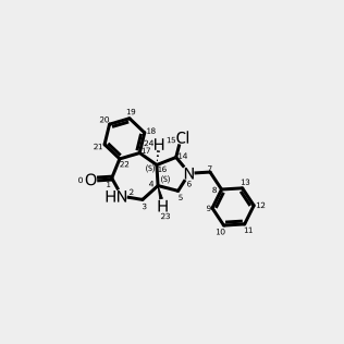 O=C1NC[C@H]2CN(Cc3ccccc3)C(Cl)[C@@H]2c2ccccc21